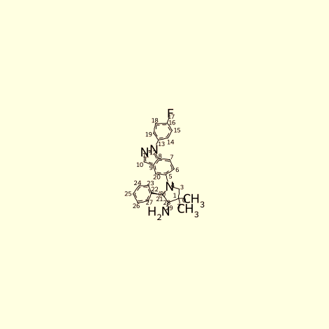 CC1(C)CN(c2ccc3c(cnn3-c3ccc(F)cc3)c2)[C@H](c2ccccc2)C1N